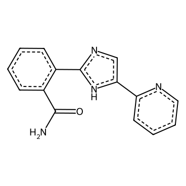 NC(=O)c1ccccc1-c1ncc(-c2ccccn2)[nH]1